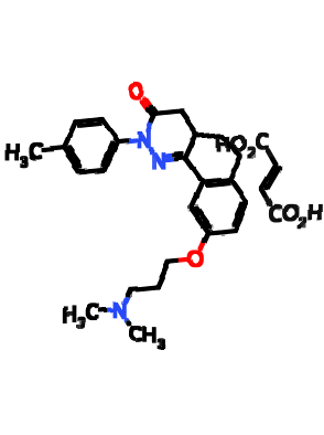 Cc1ccc(N2N=C3c4cc(OCCCN(C)C)ccc4CCC3CC2=O)cc1.O=C(O)C=CC(=O)O